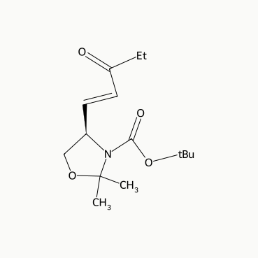 CCC(=O)/C=C/[C@@H]1COC(C)(C)N1C(=O)OC(C)(C)C